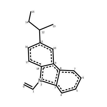 C=Cn1c2ccccc2c2cc(C(C)CC)ccc21